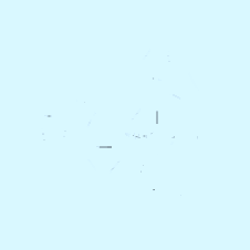 CCCC1=Cc2c(-c3ccc4c5c(cccc35)CC4)cccc2[CH]1[Zr]([Cl])([Cl])([CH]1C(CCC)=Cc2c(-c3ccc4c5c(cccc35)CC4)cccc21)[SiH](C)C